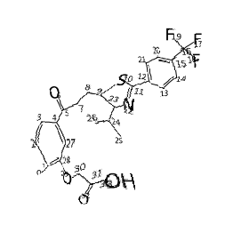 Cc1ccc(C(=O)CCC2SC(c3ccc(C(F)(F)F)cc3)=NC2C(C)C)cc1OCC(=O)O